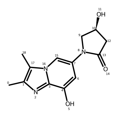 Cc1nc2c(O)cc(N3C[C@@H](O)CC3=O)cn2c1C